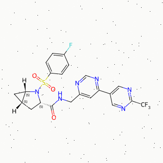 O=C(NCc1cc(-c2cnc(C(F)(F)F)nc2)ncn1)[C@@H]1C[C@@H]2C[C@@H]2N1S(=O)(=O)c1ccc(F)cc1